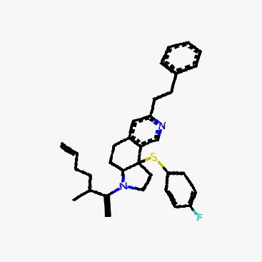 C=CCCC(C)C(=C)N1CCC2(SC3C=CC(F)=CC3)c3cnc(CCc4ccccc4)cc3CCC12